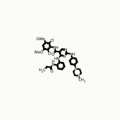 C=CC(=O)Nc1ccccc1Nc1nc(Nc2ccc(N3CCN(C)CC3)cc2)ncc1C(=O)Nc1c(Cl)c(OC)cc(OC)c1Cl